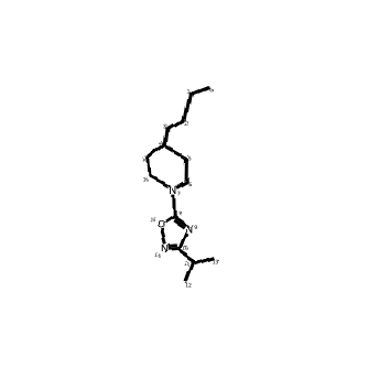 CCCCC1CCN(c2nc(C(C)C)no2)CC1